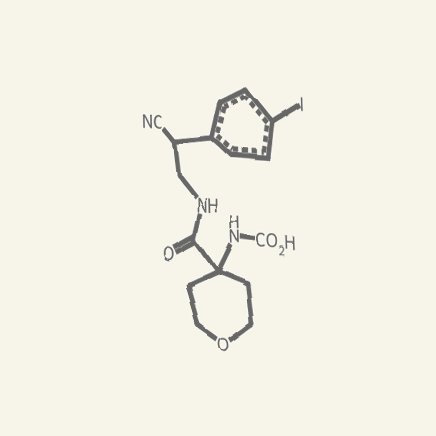 N#CC(CNC(=O)C1(NC(=O)O)CCOCC1)c1ccc(I)cc1